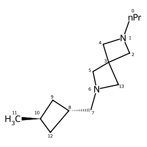 CCCN1CC2(C1)CN(C[C@H]1C[C@H](C)C1)C2